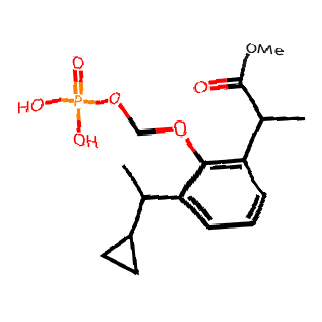 COC(=O)C(C)c1cccc(C(C)C2CC2)c1OCOP(=O)(O)O